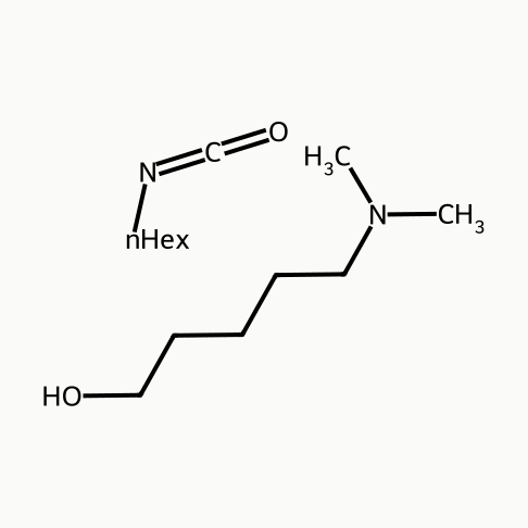 CCCCCCN=C=O.CN(C)CCCCCO